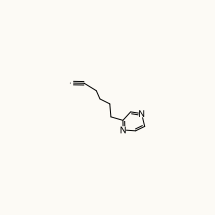 [C]#CCCCCc1cnccn1